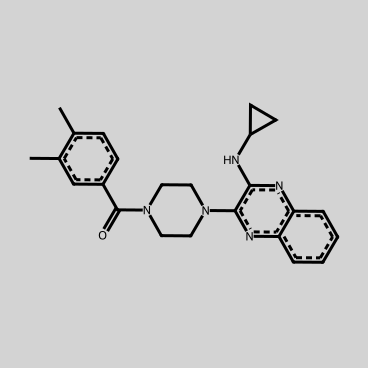 Cc1ccc(C(=O)N2CCN(c3nc4ccccc4nc3NC3CC3)CC2)cc1C